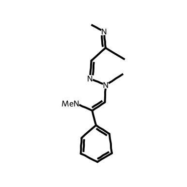 C/N=C(C)\C=N/N(C)/C=C(\NC)c1ccccc1